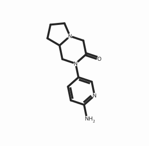 Nc1ccc(N2CC3CCCN3CC2=O)cn1